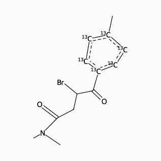 C[13c]1[13cH][13cH][13c](C(=O)C(Br)CC(=O)N(C)C)[13cH][13cH]1